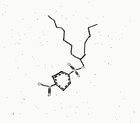 CCCCCCCC(CCCCC)OS(=O)(=O)c1ccc([N+](=O)[O-])cc1